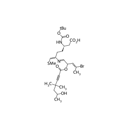 CS/C=C(CC[C@H](CC(=O)O)NC(=O)OC(C)(C)C)\N=C\C(/C=C(\C)Br)OC(=O)C#CC(C)(C)CC(C)O